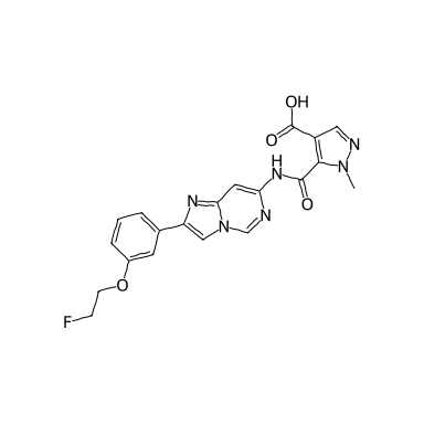 Cn1ncc(C(=O)O)c1C(=O)Nc1cc2nc(-c3cccc(OCCF)c3)cn2cn1